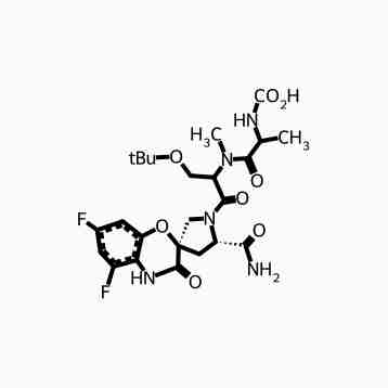 CC(NC(=O)O)C(=O)N(C)C(COC(C)(C)C)C(=O)N1C[C@@]2(C[C@H]1C(N)=O)Oc1cc(F)cc(F)c1NC2=O